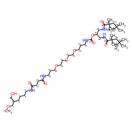 COCC(CO)CCCCNC(=O)CCC(=O)NCCCOCCOCCOCCCNC(=O)OC(CNC(=O)C(C)(C)CC(C)(C)C)CNC(=O)C(C)(C)CC(C)(C)C